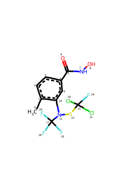 Cc1ccc(C(=O)NO)cc1N(SC(F)(Cl)Cl)C(F)(F)F